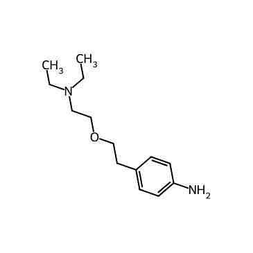 CCN(CC)CCOCCc1ccc(N)cc1